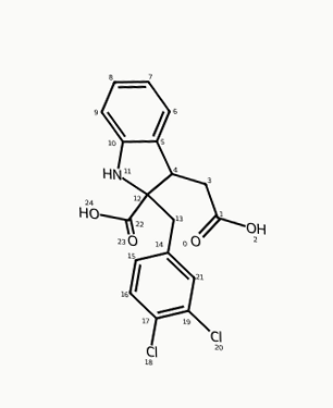 O=C(O)CC1c2ccccc2NC1(Cc1ccc(Cl)c(Cl)c1)C(=O)O